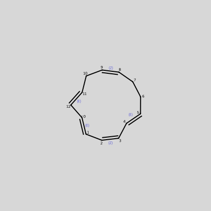 [C]1=C/C=C\C=C\CC/C=C\C/C=C/1